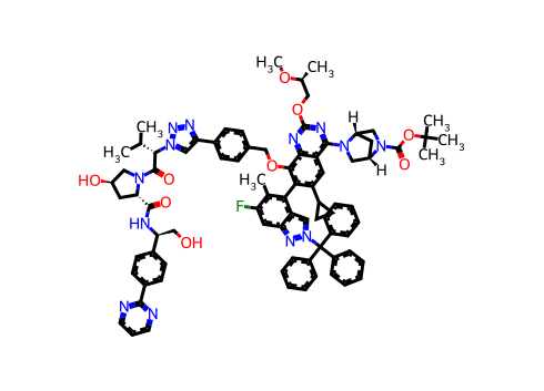 CO[C@@H](C)COc1nc(N2C[C@@H]3C[C@H]2CN3C(=O)OC(C)(C)C)c2cc(C3CC3)c(-c3c(C)c(F)cc4nn(C(c5ccccc5)(c5ccccc5)c5ccccc5)cc34)c(OCc3ccc(-c4cn([C@H](C(=O)N5C[C@H](O)C[C@H]5C(=O)N[C@@H](CO)c5ccc(-c6ncccn6)cc5)C(C)C)nn4)cc3)c2n1